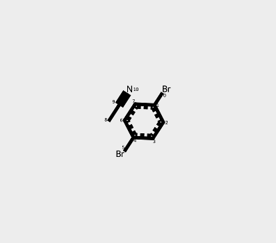 Brc1ccc(Br)cc1.CC#N